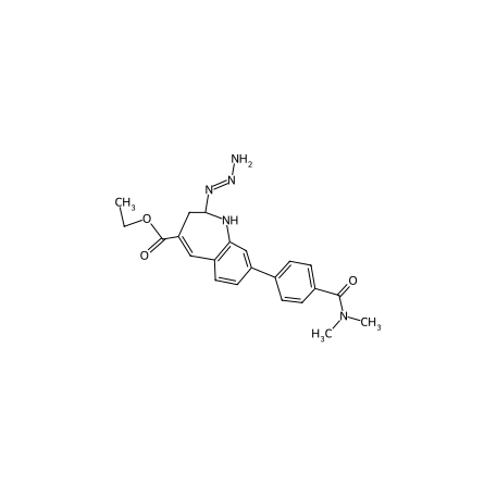 CCOC(=O)C1=Cc2ccc(-c3ccc(C(=O)N(C)C)cc3)cc2NC(N=NN)C1